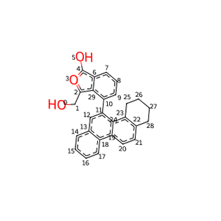 OCc1oc(O)c2cccc(-c3cc4ccccc4c4ccc5c(c34)CCCC5)c12